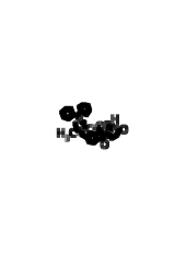 CC1CN(C(c2ccccc2)c2ccccc2)CC(C)N1Cc1ccc2c(c1)C(=O)N(N1CCC(=O)NC1=O)C2=O